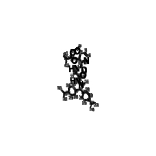 COc1ccnc(C(=O)N[C@@H](C)C(=O)NN(C)C(c2ccc(C(C)C)cc2)c2ccc(C(C)C)cc2)c1OC(=O)C(C)C